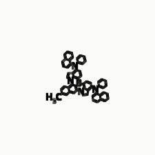 Cc1ccc2c3c4c(cc2c1)-n1ccc2c(N(c5ccccc5)c5cccc6ccccc56)ccc(c21)B4c1ccc(N(c2ccccc2)c2cccc4ccccc24)c2ccn-3c12